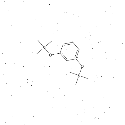 C[Si](C)(C)Oc1c[c]cc(O[Si](C)(C)C)c1